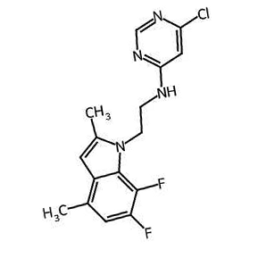 Cc1cc(F)c(F)c2c1cc(C)n2CCNc1cc(Cl)ncn1